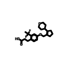 CC(F)(F)c1cc(OCC2=C(C3CCOCC3)CCC2)ccc1CCC(=O)O